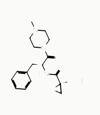 CCOC(=O)[C@@]1(C(=O)N[C@@H](Cc2ccccc2)C(=O)N2CCN(C)CC2)CO1